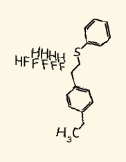 CCc1ccc(CCSc2ccccc2)cc1.F.F.F.F.F